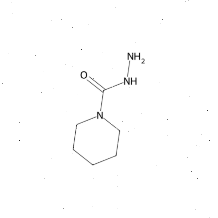 NNC(=O)N1CCCCC1